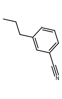 CCCc1[c]ccc(C#N)c1